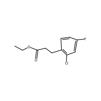 CCOC(=O)CCc1c[c]c(F)cc1Cl